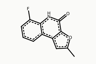 Cc1cc2c(o1)c(=O)[nH]c1c(F)cccc12